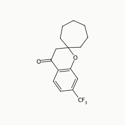 O=C1CC2(CCCCCC2)Oc2cc(C(F)(F)F)ccc21